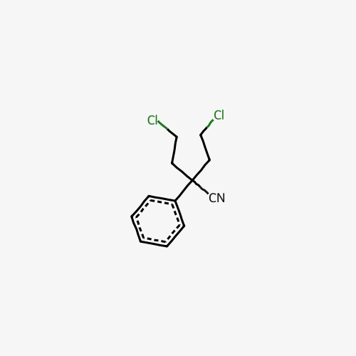 N#CC(CCCl)(CCCl)c1ccccc1